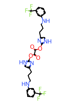 O=C(Oc1nc(CCCNc2cccc(C(F)(F)F)c2)c[nH]1)C(=O)Oc1nc(CCCNc2cccc(C(F)(F)F)c2)c[nH]1